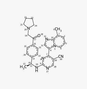 Cc1cccn2c(-c3nc(N[C@@H](C)c4ccc(C(=O)CN5CCCC5)cc4)ncc3C#N)cnc12